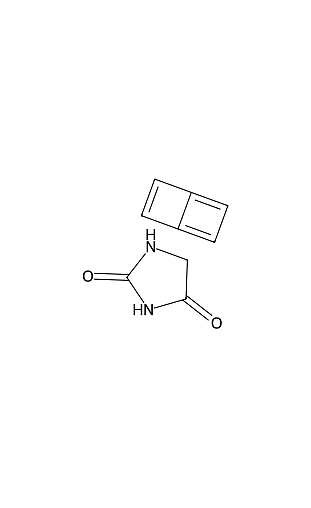 O=C1CNC(=O)N1.c1cc2ccc1-2